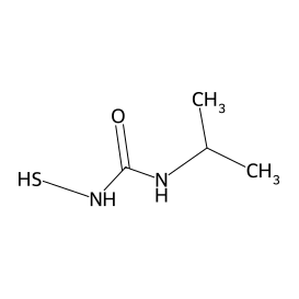 CC(C)NC(=O)NS